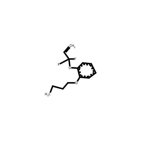 C=CC(F)(F)Oc1ccccc1OCCCC